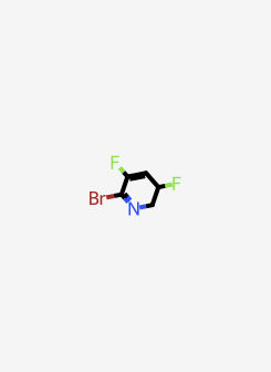 FC1=CC(F)CN=C1Br